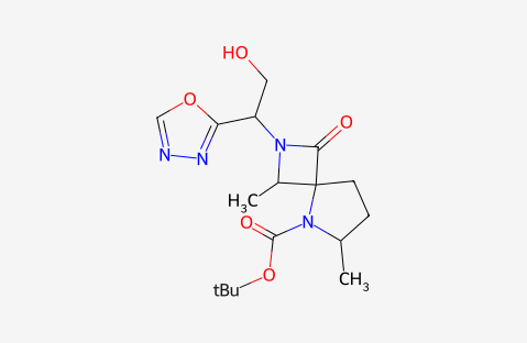 CC1CCC2(C(=O)N(C(CO)c3nnco3)C2C)N1C(=O)OC(C)(C)C